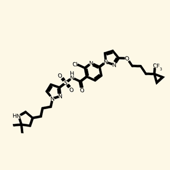 CC1(C)CC(CCCn2ccc(S(=O)(=O)NC(=O)c3ccc(-n4ccc(OCCCC5(C(F)(F)F)CC5)n4)nc3Cl)n2)CN1